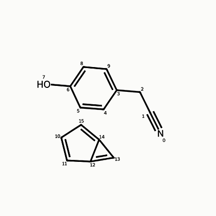 N#CCc1ccc(O)cc1.c1cc2cc-2c1